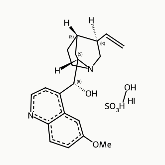 C=C[C@H]1CN2CC[C@H]1C[C@H]2[C@H](O)c1ccnc2ccc(OC)cc12.I.O=S(=O)(O)O